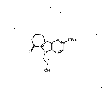 COc1ccc2c(c1)c1c(n2CCO)C(=O)CCC1